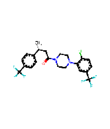 C[C@H](CC(=O)N1CCN(c2cc(C(F)(F)F)ccc2Cl)CC1)c1ccc(C(F)(F)F)cc1